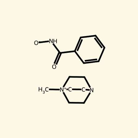 C[N+]12CCN(CC1)CC2.O=C(N[O-])c1ccccc1